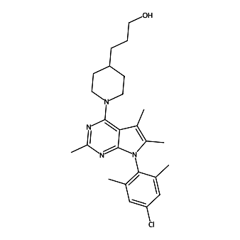 Cc1nc(N2CCC(CCCO)CC2)c2c(C)c(C)n(-c3c(C)cc(Cl)cc3C)c2n1